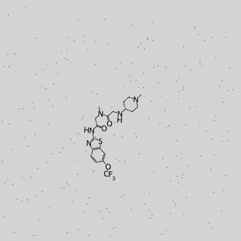 CN1CCC(NCC(=O)N(C)CC(=O)Nc2nc3ccc(OC(F)(F)F)cc3s2)CC1